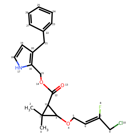 CC1(C)C(OCC=C(F)CCl)C1C(=O)OCc1[nH]ccc1Cc1ccccc1